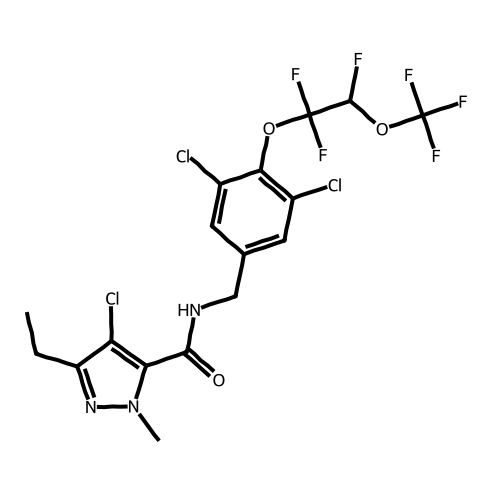 CCc1nn(C)c(C(=O)NCc2cc(Cl)c(OC(F)(F)C(F)OC(F)(F)F)c(Cl)c2)c1Cl